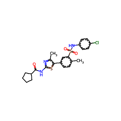 Cc1ccc(-c2sc(NC(=O)C3CCCC3)nc2C)cc1S(=O)(=O)Nc1ccc(Cl)cc1